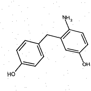 Nc1ccc(O)cc1Cc1ccc(O)cc1